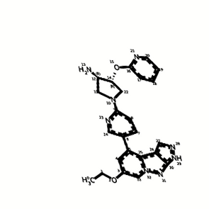 CCOc1cc(-c2ccc(N3C[C@@H](N)[C@H](Oc4ccccn4)C3)nc2)c2c3cn[nH]c3nn2c1